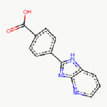 O=C(O)c1ccc(-c2nc3ncccc3[nH]2)cc1